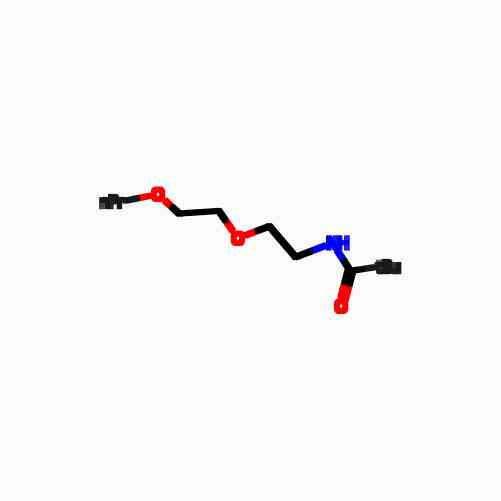 CCCOCCOCCNC(=O)C(C)(C)C